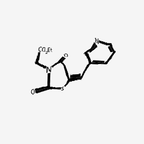 CCOC(=O)CN1C(=O)SC(=Cc2cccnc2)C1=O